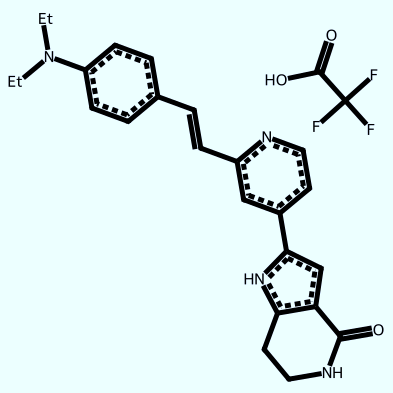 CCN(CC)c1ccc(C=Cc2cc(-c3cc4c([nH]3)CCNC4=O)ccn2)cc1.O=C(O)C(F)(F)F